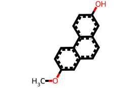 COc1ccc2c(ccc3cc(O)ccc32)c1